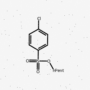 CCCCCOS(=O)(=O)c1ccc(Cl)cc1